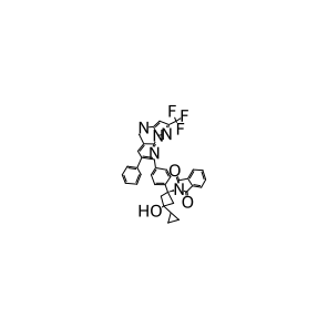 O=C1c2ccccc2C(=O)N1[C@]1(c2ccc(-c3nc4c(cnc5cc(C(F)(F)F)nn54)cc3-c3ccccc3)cc2)C[C@@](O)(C2CC2)C1